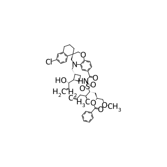 C=CC[C@H](C)[C@@H](C[C@@H](COC)OC(=O)c1ccccc1)S(=O)(=O)NC(=O)c1ccc2c(c1)N(C[C@@H]1CC[C@H]1[C@@H](O)C=C)C[C@@]1(CCCc3cc(Cl)ccc31)CO2